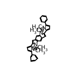 C[Si]1(C)n2c(-c3ccccc3)ccc2-c2cc3cc4c(cc5n4[Si](C)(C)n4c(-c6ccccc6)ccc4-5)cc3n21